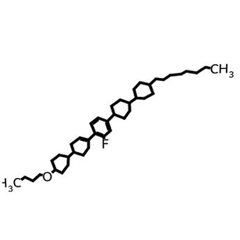 CCCCCCCCC1CCC(C2CCC(c3ccc(C4=CCC(C5CCC(OCCCC)CC5)CC4)c(F)c3)CC2)CC1